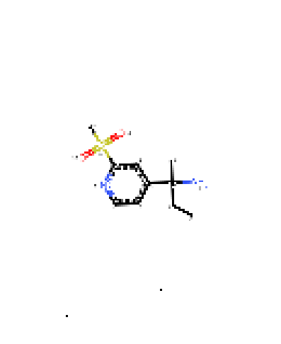 CCC(C)(N)c1ccnc(S(C)(=O)=O)c1